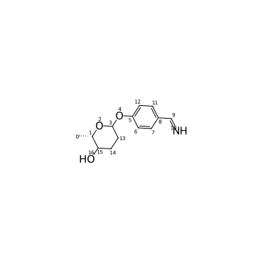 C[C@@H]1OC(Oc2ccc(C=N)cc2)CCC1O